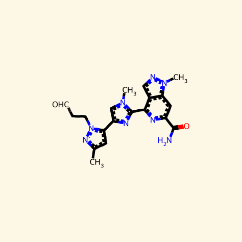 Cc1cc(-c2cn(C)c(-c3nc(C(N)=O)cc4c3cnn4C)n2)n(CCC=O)n1